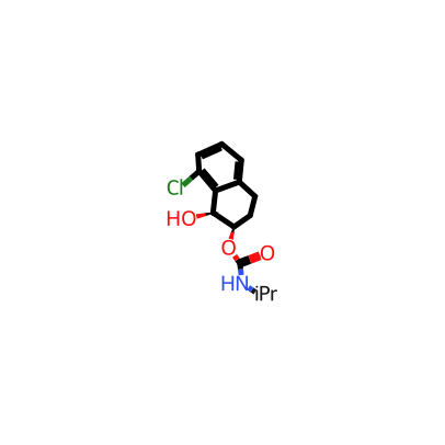 CC(C)NC(=O)O[C@@H]1CCc2cccc(Cl)c2[C@@H]1O